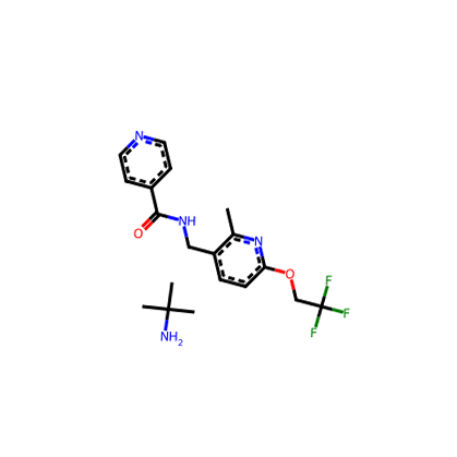 CC(C)(C)N.Cc1nc(OCC(F)(F)F)ccc1CNC(=O)c1ccncc1